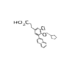 O=C(O)CCc1cc(Cl)c(OCC2CCCC2)c(-c2ccc3ccccc3c2)c1